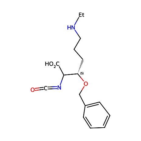 CCNCCC[C@H](OCc1ccccc1)C(N=C=O)C(=O)O